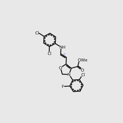 COC(=O)C1=C(/C=C/Nc2ccc(Cl)cc2Cl)OCN1c1c(F)cccc1Cl